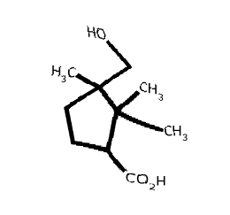 CC1(CO)CCC(C(=O)O)C1(C)C